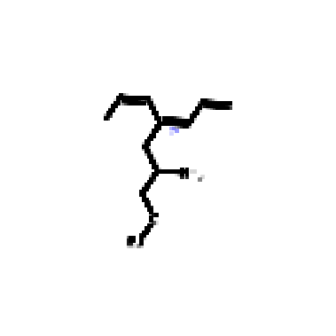 C=C/C=C(\C=C/C)CC(N)COC(C)CC